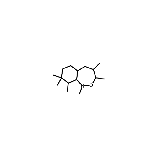 CC1CC2CCC(C)(C)C(C)C2N(C)OC1C